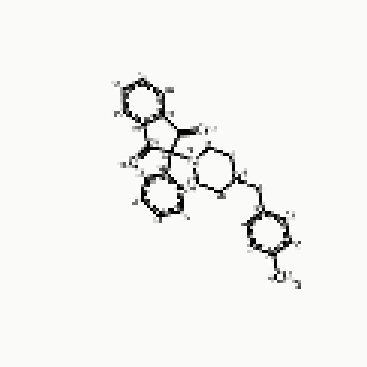 Cc1ccc(CN2CCN(C3(c4ccccc4)C(=O)c4ccccc4C3=O)CC2)cc1